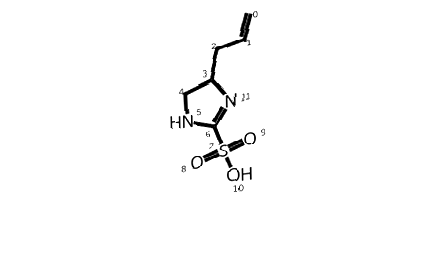 C=CCC1CNC(S(=O)(=O)O)=N1